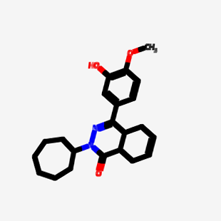 COc1ccc(C2=NN(C3CCCCCC3)C(=O)C3CC=CCC23)cc1O